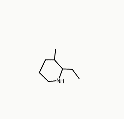 CCC1NCCCC1C